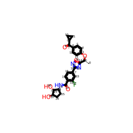 C[C@@H](Oc1ccc(C(=O)C2CC2)cc1)c1nc(-c2ccc(C(=O)N[C@@H]3CC[C@@H](O)[C@H]3O)c(F)c2)no1